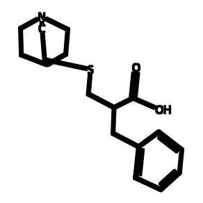 O=C(O)C(CSC1CN2CCC1CC2)Cc1ccccc1